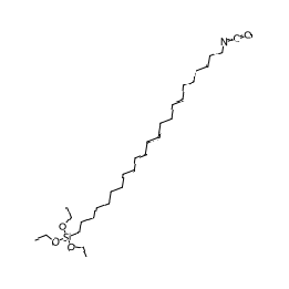 CCO[Si](CCCCCCCCCCCCCCCCCCCCCCCN=C=O)(OCC)OCC